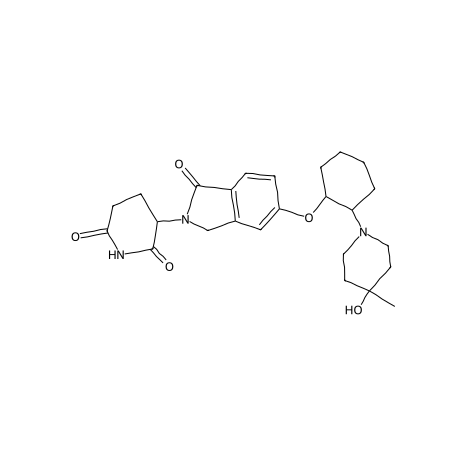 CC1(O)CCN(C2CCCCC2Oc2ccc3c(c2)CN(C2CCC(=O)NC2=O)C3=O)CC1